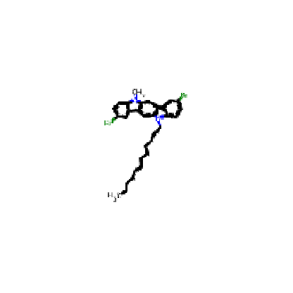 CCCCCCCCCCCCn1c2ccc(Br)cc2c2cc3c(cc21)c1cc(Br)ccc1n3C